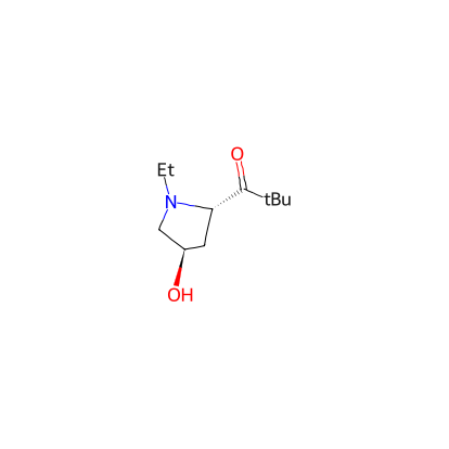 CCN1C[C@H](O)C[C@H]1C(=O)C(C)(C)C